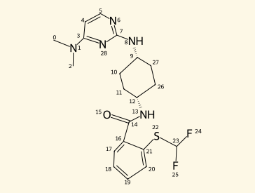 CN(C)c1ccnc(N[C@H]2CC[C@@H](NC(=O)c3ccccc3SC(F)F)CC2)n1